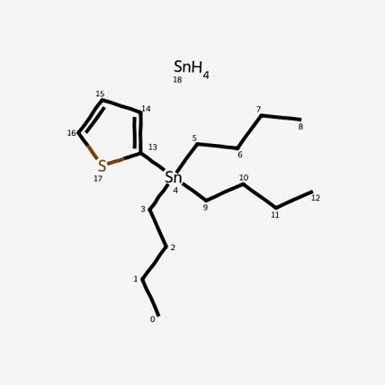 CCC[CH2][Sn]([CH2]CCC)([CH2]CCC)[c]1cccs1.[SnH4]